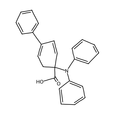 O=C(O)C1(N(c2ccccc2)c2ccccc2)C=CC(c2ccccc2)=CC1